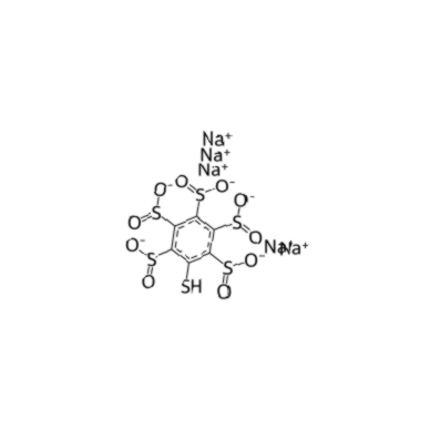 O=S([O-])c1c(S)c(S(=O)[O-])c(S(=O)[O-])c(S(=O)[O-])c1S(=O)[O-].[Na+].[Na+].[Na+].[Na+].[Na+]